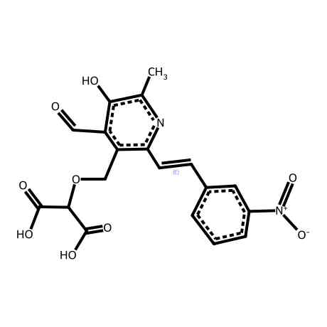 Cc1nc(/C=C/c2cccc([N+](=O)[O-])c2)c(COC(C(=O)O)C(=O)O)c(C=O)c1O